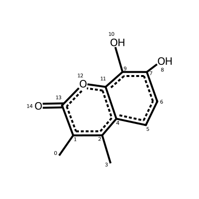 Cc1c(C)c2ccc(O)c(O)c2oc1=O